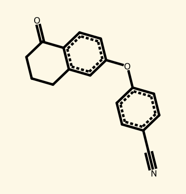 N#Cc1ccc(Oc2ccc3c(c2)CCCC3=O)cc1